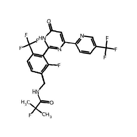 CC(C)(F)C(=O)NCc1ccc(C(F)(F)F)c(-c2nc(-c3ccc(C(F)(F)F)cn3)cc(=O)[nH]2)c1F